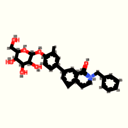 Cc1cc(-c2ccc3ccn(Cc4ccccc4)c(=O)c3c2)ccc1OC1OC(CO)C(O)C(O)C1O